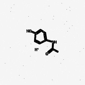 CC(=O)Nc1ccc(O)cc1.[H+]